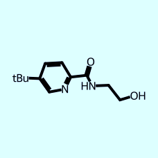 CC(C)(C)c1ccc(C(=O)NCCO)nc1